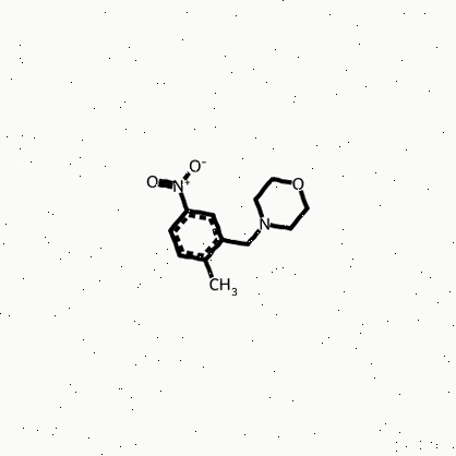 Cc1ccc([N+](=O)[O-])cc1CN1CCOCC1